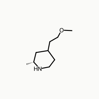 COCCC1CCN[C@H](C)C1